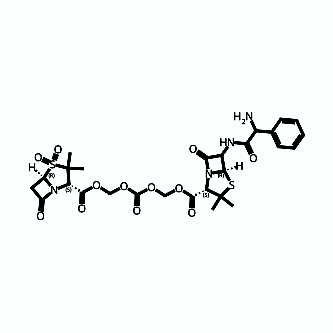 CC1(C)S[C@@H]2C(NC(=O)C(N)c3ccccc3)C(=O)N2[C@H]1C(=O)OCOC(=O)OCOC(=O)[C@@H]1N2C(=O)C[C@H]2S(=O)(=O)C1(C)C